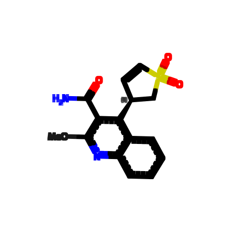 COc1nc2ccccc2c([C@H]2C=CS(=O)(=O)C2)c1C(N)=O